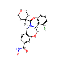 CC1(C(=O)N2Cc3ccc(C(=O)NO)cc3OC[C@@H]2c2ccccc2F)CCOCC1